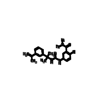 C=C(C)c1cccc(C(C)(C)NC(=O)Nc2ccc(Cl)c(C(=O)N(CC)CC)c2)c1